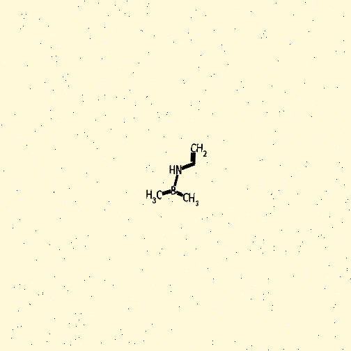 C=CNB(C)C